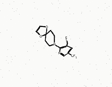 Fc1cc(C(F)(F)F)cnc1N1CCC2(CC1)OCCO2